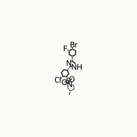 C[C@@H]1CCN(S(=O)(=O)c2cc(-c3nc(-c4ccc(Br)c(F)c4)c[nH]3)ccc2Cl)C1